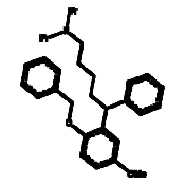 COc1ccc(OCc2ccccc2)c(C(CCCCN(C(C)C)C(C)C)c2ccccc2)c1